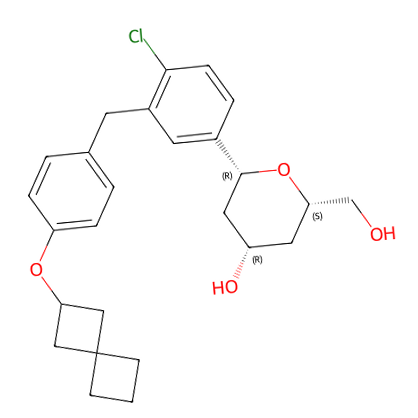 OC[C@@H]1C[C@H](O)C[C@H](c2ccc(Cl)c(Cc3ccc(OC4CC5(CCC5)C4)cc3)c2)O1